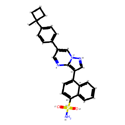 CC1(c2ccc(-c3cnc4c(-c5ccc(S(N)(=O)=O)c6ccccc56)cnn4c3)cc2)CCC1